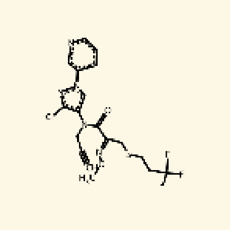 C#CCN(C(=O)C(CSCCC(F)(F)F)=NOC)c1cn(-c2cccnc2)nc1Cl